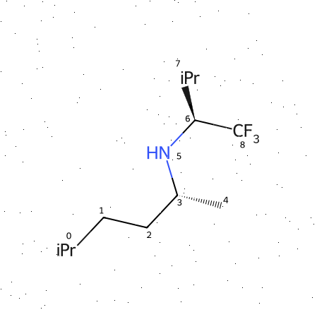 CC(C)CC[C@@H](C)N[C@@H](C(C)C)C(F)(F)F